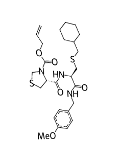 C=CCOC(=O)N1CSC[C@H]1C(=O)N[C@@H](CSCC1CCCCC1)C(=O)NCc1ccc(OC)cc1